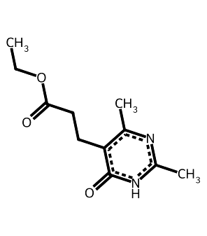 CCOC(=O)CCc1c(C)nc(C)[nH]c1=O